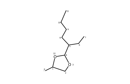 [CH2]C1COC(C(CC)CCCC)O1